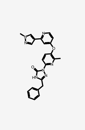 Cc1nc(-n2nc(Cc3ccccc3)[nH]c2=O)ccc1Oc1ccnc(-c2cnn(C)c2)c1